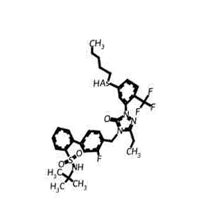 CCCCC[AsH]c1ccc(C(F)(F)F)c(-n2nc(CC)n(Cc3ccc(-c4ccccc4S(=O)(=O)NC(C)(C)C)cc3F)c2=O)c1